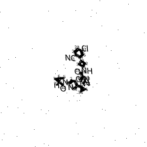 Cc1cc(N2CC3=C[C@H]3C2=O)ncc1C1(n2cc(C(=O)N[C@H]3C[C@@H](c4cc(Cl)ccc4C#N)C3)nn2)CC1